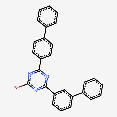 Brc1nc(-c2ccc(-c3ccccc3)cc2)nc(-c2cccc(-c3ccccc3)c2)n1